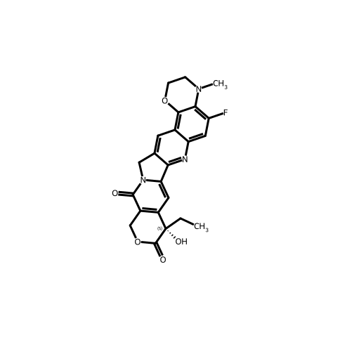 CC[C@@]1(O)C(=O)OCc2c1cc1n(c2=O)Cc2cc3c4c(c(F)cc3nc2-1)N(C)CCO4